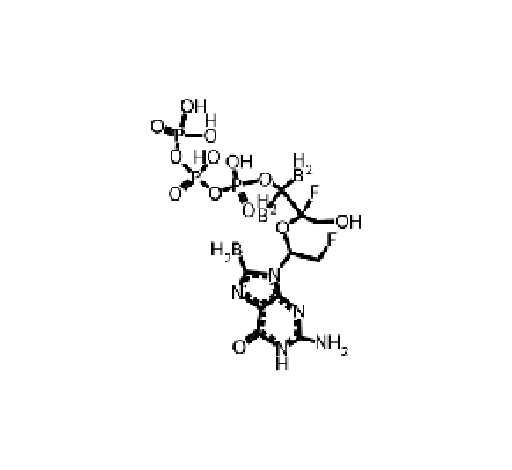 Bc1nc2c(=O)[nH]c(N)nc2n1C(CF)O[C@@](F)(CO)C(B)(B)OP(=O)(O)OP(=O)(O)OP(=O)(O)O